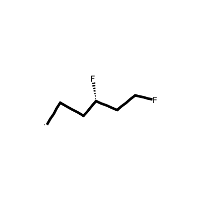 [CH2]CC[C@H](F)CCF